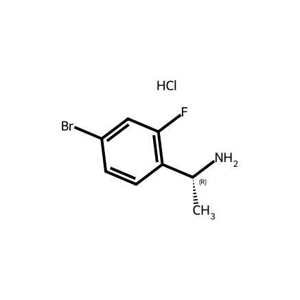 C[C@@H](N)c1ccc(Br)cc1F.Cl